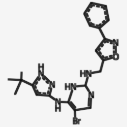 CC(C)(C)c1cc(NC2=C(Br)C=NC(NCc3cc(-c4ccccc4)no3)N2)n[nH]1